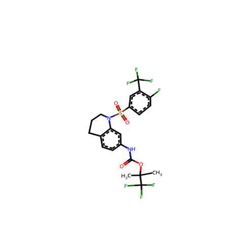 CC(C)(OC(=O)Nc1ccc2c(c1)N(S(=O)(=O)c1ccc(F)c(C(F)(F)F)c1)CCC2)C(F)(F)F